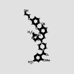 COc1cc(C)ccc1C(=O)N1CCN(C(Cc2ccc(C#N)c(Oc3cccc(OCCO)c3)c2)c2cnc(C)[nH]2)CC1